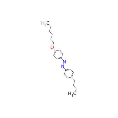 CCCCCCOc1ccc(N=Nc2ccc(CCCC)cc2)cc1